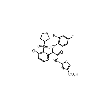 O=C(O)c1csc(NC(=O)C(Oc2ccc(F)cc2F)c2cccc(Cl)c2S(=O)(=O)C2CCCC2)n1